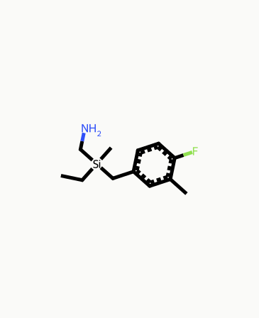 CC[Si](C)(CN)Cc1ccc(F)c(C)c1